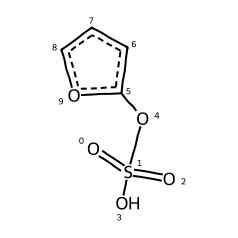 O=S(=O)(O)Oc1ccco1